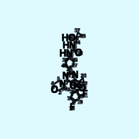 C[C@H]1COCCN1c1cc(C2(S(=O)(=O)c3ccc(F)cc3F)CC2)nc(-c2ccc(NC(=O)NCC3(O)CC3)cc2)n1